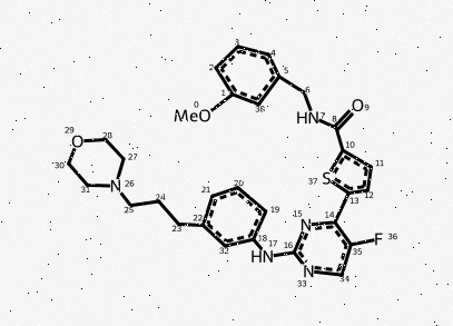 COc1cccc(CNC(=O)c2ccc(-c3nc(Nc4cccc(CCCN5CCOCC5)c4)ncc3F)s2)c1